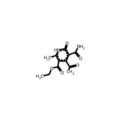 CCOC(=O)c1c(C)[nH]c(=O)c(C(N)=O)c1C(C)=O